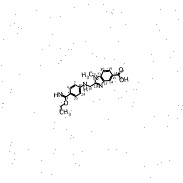 CCOC(=N)c1ccc(NCc2nc3cc(C(=O)O)ccc3n2C)cc1